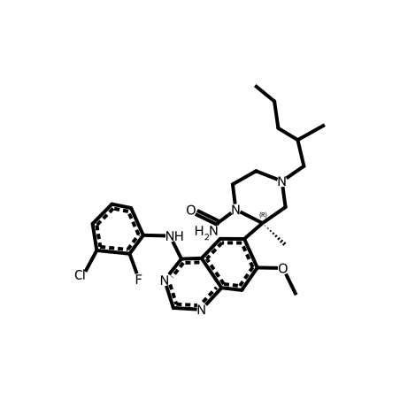 CCCC(C)CN1CCN(C(N)=O)[C@](C)(c2cc3c(Nc4cccc(Cl)c4F)ncnc3cc2OC)C1